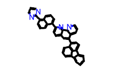 c1cnc(-c2cccc3c(-c4ccc5cc(-c6ccc7c8c(cccc68)-c6ccccc6-7)c6cccnc6c5n4)cccc23)nc1